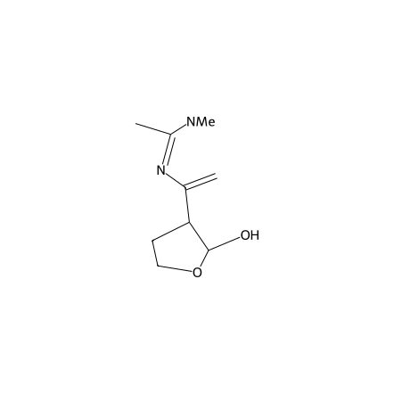 C=C(/N=C(/C)NC)C1CCOC1O